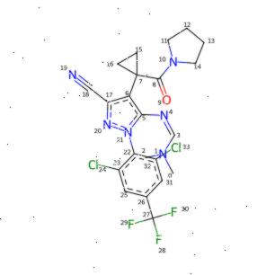 CN(C)/C=N\c1c(C2(C(=O)N3CCCC3)CC2)c(C#N)nn1-c1c(Cl)cc(C(F)(F)F)cc1Cl